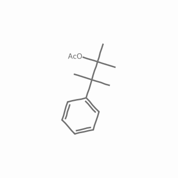 CC(=O)OC(C)(C)C(C)(C)c1ccccc1